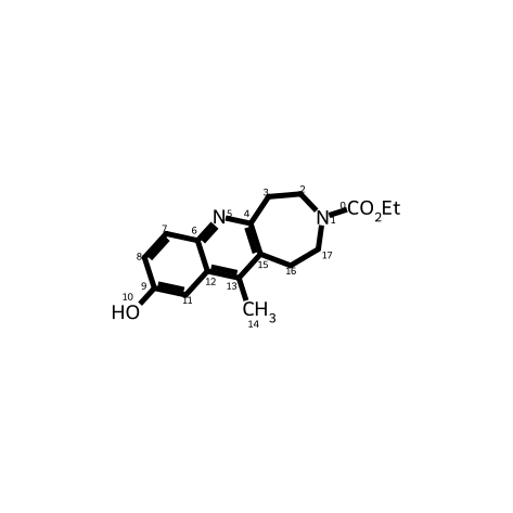 CCOC(=O)N1CCc2nc3ccc(O)cc3c(C)c2CC1